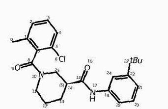 Cc1cccc(Cl)c1C(=O)N1CCC[C@H](C(=O)Nc2cccc(C(C)(C)C)c2)C1